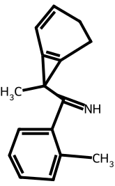 Cc1ccccc1C(=N)C1(C)C2=C1CCC=C2